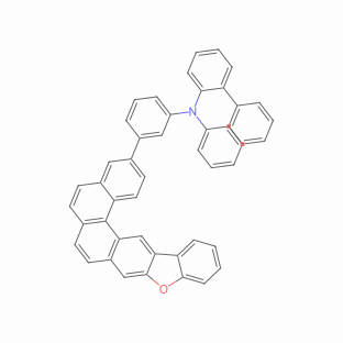 c1ccc(-c2ccccc2N(c2ccccc2)c2cccc(-c3ccc4c(ccc5ccc6cc7oc8ccccc8c7cc6c54)c3)c2)cc1